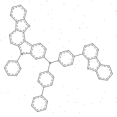 c1ccc(-c2ccc(N(c3ccc(-c4cccc5c4sc4ccccc45)cc3)c3ccc4c5c6oc7ccccc7c6ccc5n(-c5ccccc5)c4c3)cc2)cc1